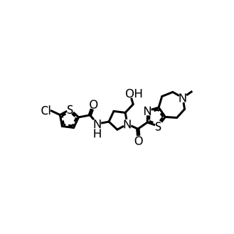 CN1CCc2nc(C(=O)N3CC(NC(=O)c4ccc(Cl)s4)CC3CO)sc2CC1